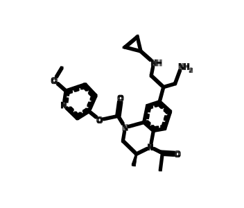 COc1ccc(OC(=O)N2C[C@H](C)N(C(C)=O)c3ccc(C(CN)CNC4CC4)cc32)cn1